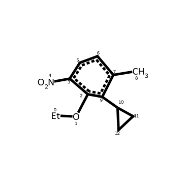 CCOc1c([N+](=O)[O-])ccc(C)c1C1CC1